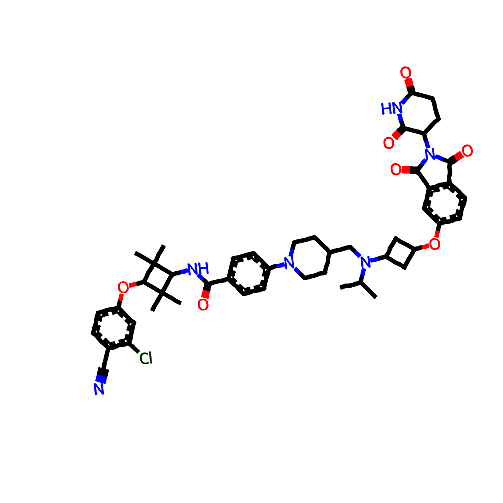 CC(C)N(CC1CCN(c2ccc(C(=O)NC3C(C)(C)C(Oc4ccc(C#N)c(Cl)c4)C3(C)C)cc2)CC1)C1CC(Oc2ccc3c(c2)C(=O)N(C2CCC(=O)NC2=O)C3=O)C1